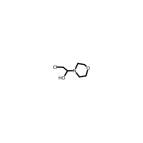 OC(CCl)N1CCOCC1